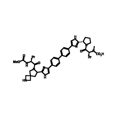 COC(=O)N[C@H](C(=O)N1CC2(CNC2)CC1c1nc(-c2ccc(-c3ccc(-c4c[nH]c([C@@H]5CCCN5C(=O)[C@H](C(C)C)N(C)C(=O)O)n4)cc3)cc2)c[nH]1)C(C)C